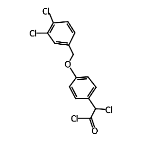 O=C(Cl)C(Cl)c1ccc(OCc2ccc(Cl)c(Cl)c2)cc1